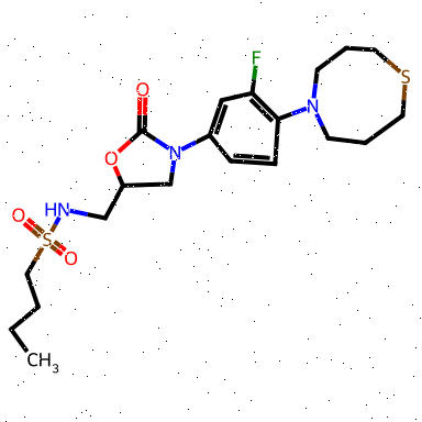 CCCCS(=O)(=O)NCC1CN(c2ccc(N3CCCSCCC3)c(F)c2)C(=O)O1